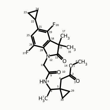 COC(=O)CC1(C(C)NC(=O)CN2C(=O)C(C)(C)c3c(F)c(C4CC4)cc(F)c32)CC1